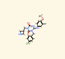 Cc1cc(NC2NC(=O)N(CC3CNC3)C(=O)N2Cc2ccc(Cl)cc2)ccc1OC(C)C